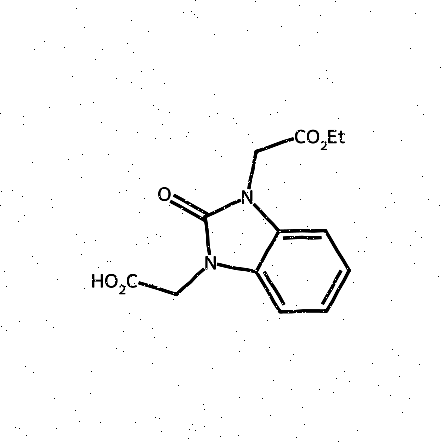 CCOC(=O)Cn1c(=O)n(CC(=O)O)c2ccccc21